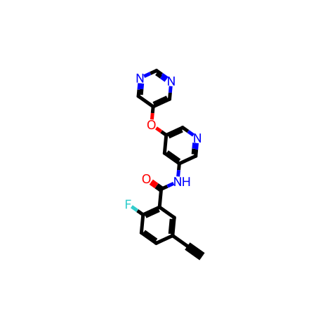 C#Cc1ccc(F)c(C(=O)Nc2cncc(Oc3cncnc3)c2)c1